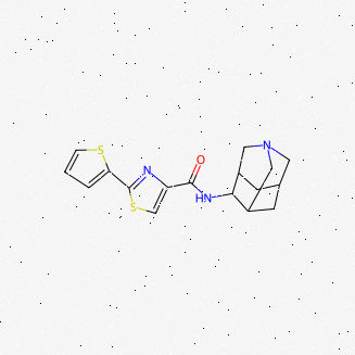 O=C(NC1C2CC3CC1CN(C3)C2)c1csc(-c2cccs2)n1